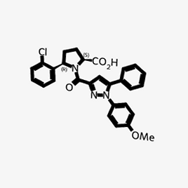 COc1ccc(-n2nc(C(=O)N3[C@@H](c4ccccc4Cl)CC[C@H]3C(=O)O)cc2-c2ccccc2)cc1